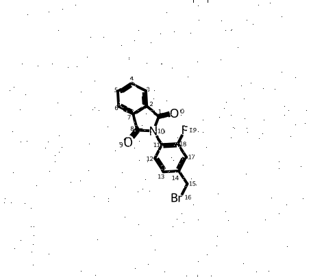 O=C1c2ccccc2C(=O)N1c1ccc(CBr)cc1F